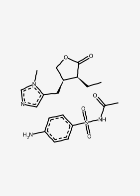 CC(=O)NS(=O)(=O)c1ccc(N)cc1.CC[C@@H]1C(=O)OC[C@@H]1Cc1cncn1C